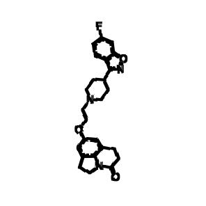 O=C1CCc2cc(OCCN3CCC(c4noc5cc(F)ccc45)CC3)cc3c2N1CC3